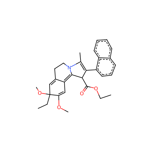 CCOC(=O)C1C(c2cccc3ccccc23)=C(C)N2CCC3=CC(CC)(OC)C(OC)=CC3=C12